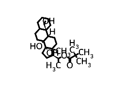 CC(OC(=O)C(C)(C)C)[C@H]1CC[C@]2(O)[C@]1(C)CC[C@@H]1[C@@]3(CO)CCCCC3CC[C@]12O